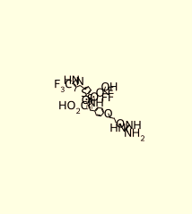 Cc1c(-c2ccc(S(=O)(=O)N[C@@H](Cc3ccc(OCCCONC(=N)N)cc3)C(=O)O)s2)n[nH]c1C(F)(F)F.O=C(O)C(F)(F)F